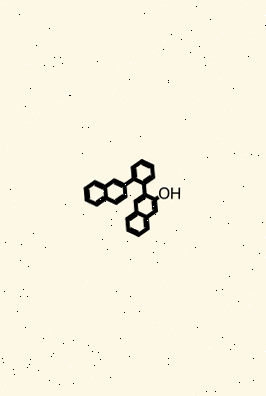 Oc1cc2ccccc2cc1-c1ccccc1-c1ccc2ccccc2c1